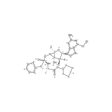 CCOc1nc(N)nc2c1ncn2[C@@H]1O[C@]2(F)C(O[P@](=O)(N[C@@H](C)C(=O)OC3CCCCC3)Oc3ccccc3)[C@]2(O)[C@@]1(C)F